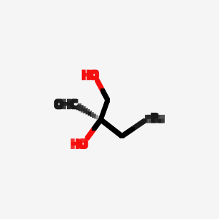 CCCCC[C@](O)(C=O)CO